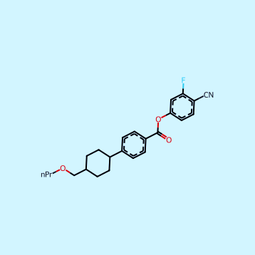 CCCOCC1CCC(c2ccc(C(=O)Oc3ccc(C#N)c(F)c3)cc2)CC1